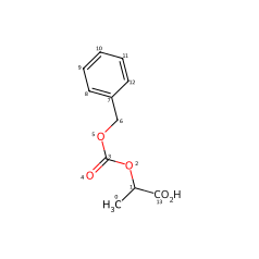 CC(OC(=O)OCc1ccccc1)C(=O)O